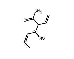 C=CC(C(N)=O)[C@H](/C=C\C)N=O